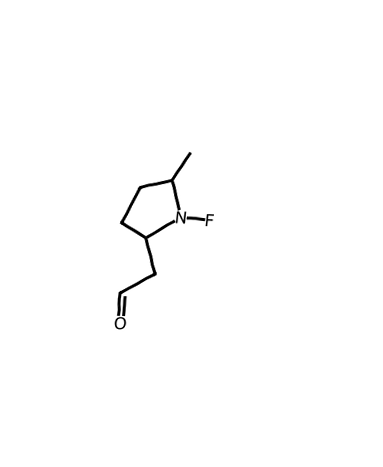 CC1CCC(CC=O)N1F